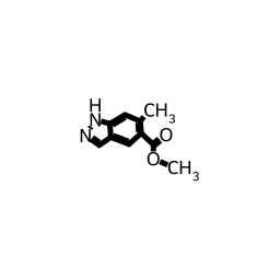 COC(=O)c1cc2cn[nH]c2cc1C